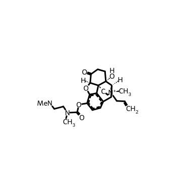 C=CC[N@+]1(C)CC[C@]23c4c5ccc(OC(=O)N(C)CCNC)c4O[C@H]2C(=O)CC[C@@]3(O)[C@H]1C5